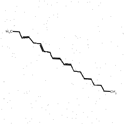 CCC=CCC=CCC=CC=CCCCCCCCC